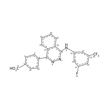 O=C(O)c1ccc(-c2nnc(Nc3cc(F)cc(C(F)(F)F)c3)c3ccccc23)cc1